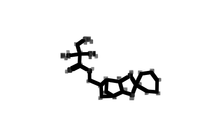 CCC(C)(C)C(=O)OCC1CC2CC1C1OC3(CCCCC3)OC21